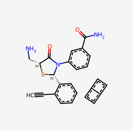 C#Cc1ccccc1[C@@H]1S[C@H](CN)C(=O)N1c1cccc(C(N)=O)c1.c1cc2ccc1-2